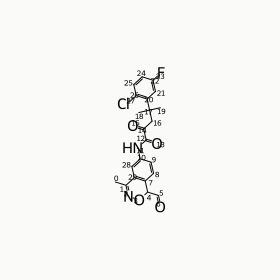 CC1=NOC(C=O)c2ccc(NC(=O)C(=O)CC(C)(C)c3cc(F)ccc3Cl)cc21